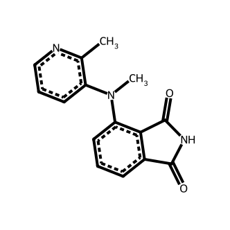 Cc1ncccc1N(C)c1cccc2c1C(=O)NC2=O